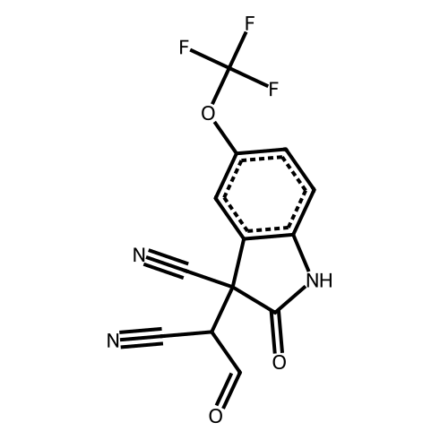 N#CC(C=O)C1(C#N)C(=O)Nc2ccc(OC(F)(F)F)cc21